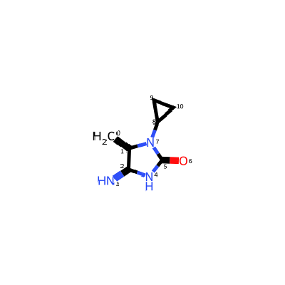 C=C1C(=N)NC(=O)N1C1CC1